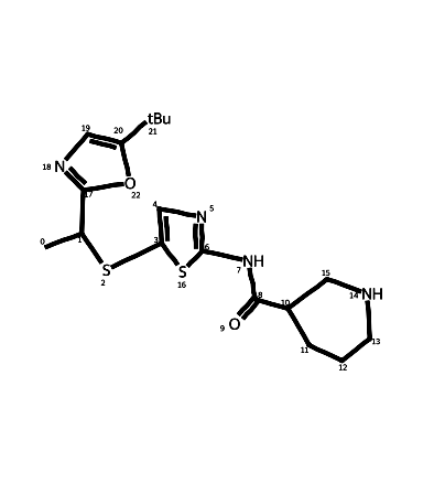 CC(Sc1cnc(NC(=O)C2CCCNC2)s1)c1ncc(C(C)(C)C)o1